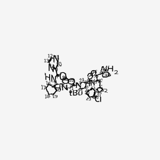 CC(C)(C)[C@H](NC(=O)[C@@H](NC(=O)c1cnccn1)C1CCCCC1)C(=O)N1C[C@@H](C(=O)NC(CC2CCC2)C(=O)C(N)=O)[C@H](c2ccc(Cl)cc2)C1